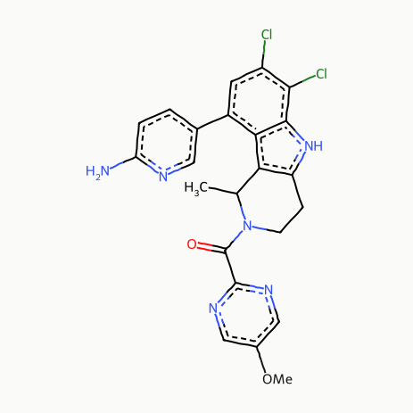 COc1cnc(C(=O)N2CCc3[nH]c4c(Cl)c(Cl)cc(-c5ccc(N)nc5)c4c3C2C)nc1